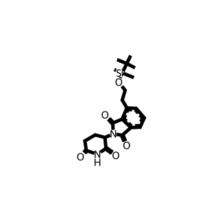 CC(C)(C)[Si](C)(C)OCCc1cccc2c1C(=O)N(C1CCC(=O)NC1=O)C2=O